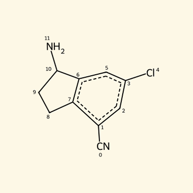 N#Cc1cc(Cl)cc2c1CCC2N